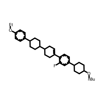 CCCCOC1CCC(c2ccc(C3=CCC(C4CCC(c5ccc(OCC)cc5)CC4)CC3)c(F)c2)CC1